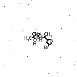 C=C(CO[Si](C)(C)C(C)(C)C)c1cncc(Br)c1